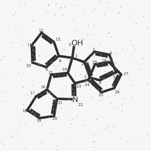 OC(c1ccccc1)(c1ccccc1)c1cc2ccccc2nc1-c1ccccc1